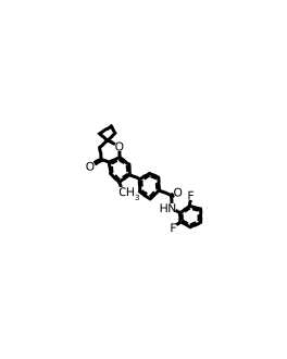 Cc1cc2c(cc1-c1ccc(C(=O)Nc3c(F)cccc3F)cc1)OC1(CCC1)CC2=O